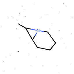 CC1C2CCCCN12